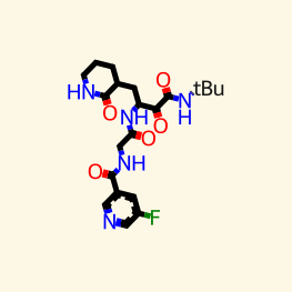 CC(C)(C)NC(=O)C(=O)C(CC1CCCNC1=O)NC(=O)CNC(=O)c1cncc(F)c1